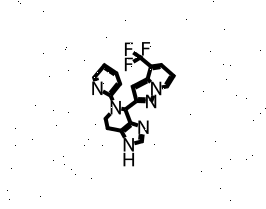 FC(F)(F)c1cccn2nc(C3c4nc[nH]c4CCN3c3ccccn3)cc12